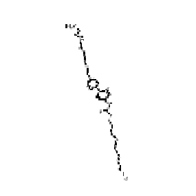 C=CCCCCCCCCC(=O)Oc1ccc(-c2ccc(CCCCCOCCC)cc2)nc1